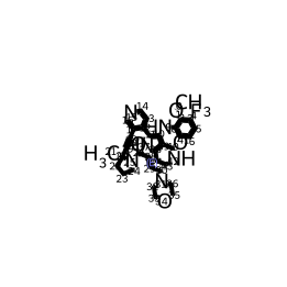 COc1c(F)cccc1Nc1c(-c2ccncc2C#C[C@@]2(C)CCCN2C(=O)/C=C/CN2CCOCC2)[nH]c2c1C(=O)NCC2